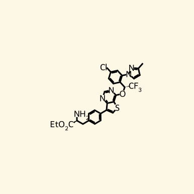 CCOC(=O)[C@@H](N)Cc1ccc(-c2csc3c(O[C@H](c4ccc(Cl)cc4-n4ccc(C)n4)C(F)(F)F)ncnc23)cc1